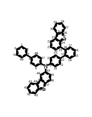 c1ccc(-c2ccc(N(c3ccc(-c4ccccc4-c4cccc5c4sc4ccccc45)cc3)c3ccc4sc5ccccc5c4c3)cc2)cc1